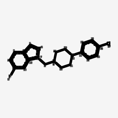 Fc1ccc2cnn(CN3CCN(c4ccc(Cl)cc4)CC3)c2c1